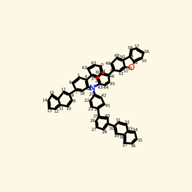 c1ccc(-c2ccc(-c3ccc4ccccc4c3)cc2N(c2ccc(-c3cccc(-c4ccc5ccccc5c4)c3)cc2)c2ccc(-c3ccc4c(c3)oc3ccccc34)cc2)cc1